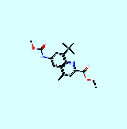 CCOC(=O)c1cc(C)c2cc(NC(=O)OC)cc(C(C)(C)C)c2n1